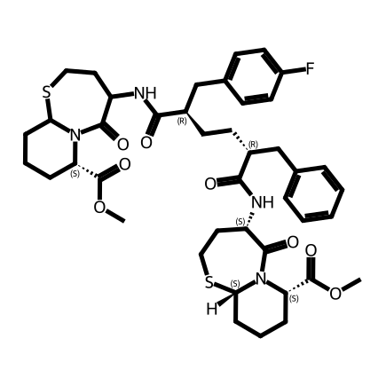 COC(=O)[C@@H]1CCCC2SCCC(NC(=O)[C@H](CC[C@H](Cc3ccccc3)C(=O)N[C@H]3CCS[C@H]4CCC[C@@H](C(=O)OC)N4C3=O)Cc3ccc(F)cc3)C(=O)N21